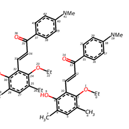 CCOc1c(C)cc(C)c(O)c1C=CC(=O)c1ccc(NC)cc1.CCOc1c(CC)cc(CC)c(O)c1C=CC(=O)c1ccc(NC)cc1